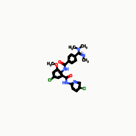 C/N=C(\c1ccc(C(=O)Nc2c(OC)cc(Cl)cc2C(=O)Nc2ccc(Cl)cn2)cc1)N(C)C